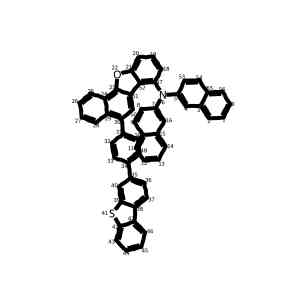 c1ccc2cc(N(c3ccc4ccccc4c3)c3cccc4oc5c6ccccc6c(-c6ccc(-c7ccc8c(c7)sc7ccccc78)cc6)cc5c34)ccc2c1